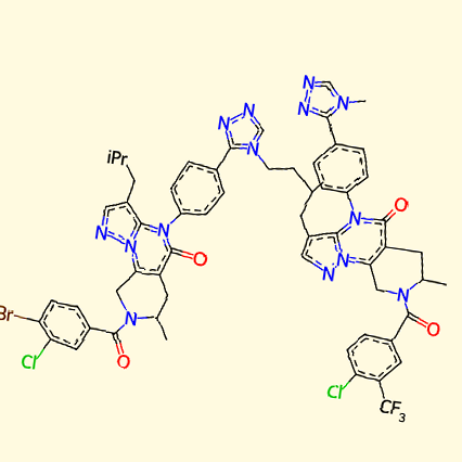 CC(C)Cc1cnn2c3c(c(=O)n(-c4ccc(-c5nncn5CCC(C)Cc5cnn6c7c(c(=O)n(-c8ccc(-c9nncn9C)cc8)c56)CC(C)N(C(=O)c5ccc(Cl)c(C(F)(F)F)c5)C7)cc4)c12)CC(C)N(C(=O)c1ccc(Br)c(Cl)c1)C3